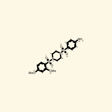 COc1ccc(S(=O)(=O)N2CCN(S(=O)(=O)c3ccc(N)cc3)CC2)c(OC)c1